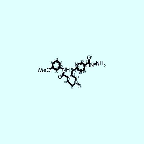 COc1cccc(NC(=O)N2CCN(C)CC2Cc2ccc(C(=O)NN)cn2)c1